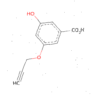 C#CCOc1cc(O)cc(C(=O)O)c1